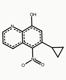 O=[N+]([O-])c1c(C2CC2)cc(O)c2ncccc12